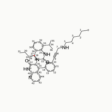 CCCCCCNCC#Cc1cccc(-c2c(N(CCCC)C(=O)Nc3c(C(C)C)cccc3C(C)C)c(=O)[nH]c3ncccc23)c1